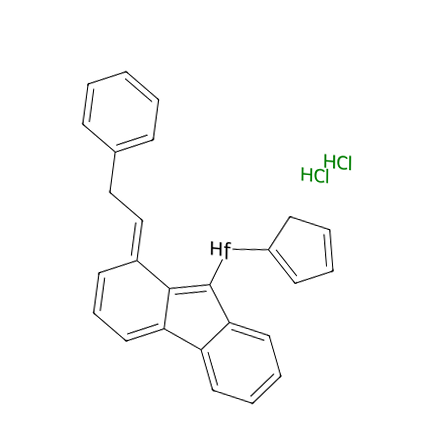 C1=CC[C]([Hf][C]2=c3c(cccc3=CCc3ccccc3)-c3ccccc32)=C1.Cl.Cl